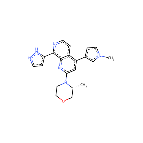 C[C@@H]1COCCN1c1cc(-c2ccn(C)c2)c2ccnc(-c3ccn[nH]3)c2n1